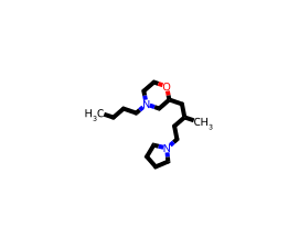 CCCCN1CCOC(CC(C)CCN2CCCC2)C1